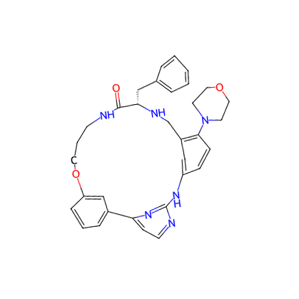 O=C1NCCCOc2cccc(c2)-c2ccnc(n2)Nc2ccc(N3CCOCC3)c(c2)CN[C@H]1Cc1ccccc1